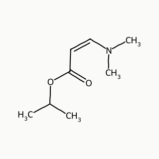 CC(C)OC(=O)/C=C\N(C)C